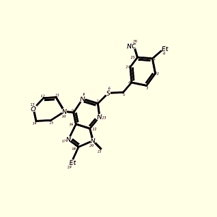 CCc1ccc(CSc2nc(N3C=COCC3)c3nc(CC)n(C)c3n2)cc1C#N